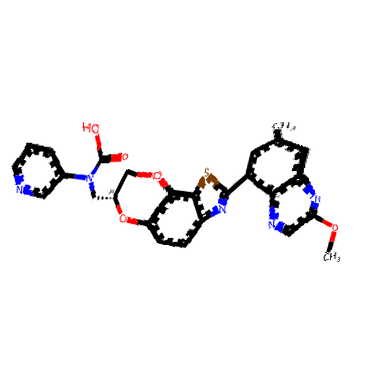 COc1cnc2c(-c3nc4ccc5c(c4s3)OC[C@@H](CN(C(=O)O)c3cccnc3)O5)cc(C)cc2n1